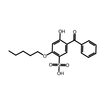 CCCCCOc1cc(O)c(C(=O)c2ccccc2)cc1S(=O)(=O)O